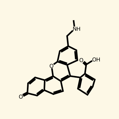 CNCc1ccc2c(-c3ccccc3C(=O)O)c3ccc4cc(=O)ccc4c3oc2c1